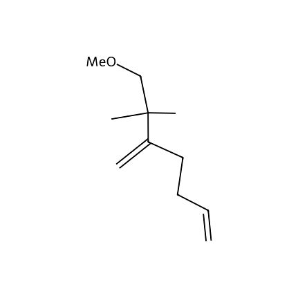 C=CCCC(=C)C(C)(C)COC